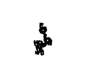 CCOC(=O)C(O)=Cc1cc(CCc2ccc(F)cc2)ccn1